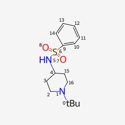 CC(C)(C)N1CCC(NS(=O)(=O)c2ccccc2)CC1